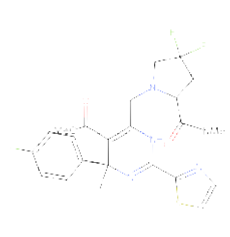 CNC(=O)C1CC(F)(F)CN1CC1=C(C(=O)OC)C(C)(c2ccc(F)cc2)N=C(c2nccs2)N1